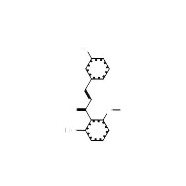 COc1cccc(O)c1C(=O)/C=C/c1cccc(Br)c1